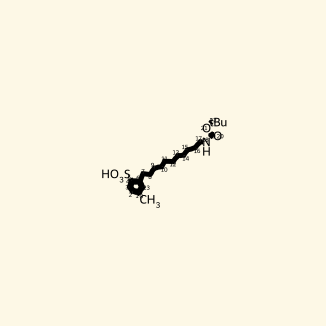 Cc1ccc(S(=O)(=O)O)c(CCCCCCCCCCCNC(=O)OC(C)(C)C)c1